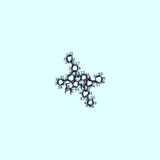 FC(F)(F)c1ccc(-c2cnccc2-n2c3ccc(-c4ccccc4)cc3c3cc(-c4ccccc4)ccc32)c(-n2c3ccc(-c4ccccc4)cc3c3cc(-c4ccccc4)ccc32)c1